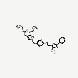 CCOC(=O)Cc1cn(Cc2ccc(OCc3nc(-c4ccccc4)oc3C)nc2)nc1OCC